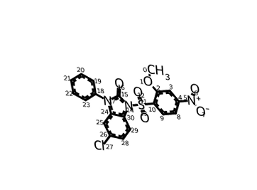 COc1cc([N+](=O)[O-])ccc1S(=O)(=O)n1c(=O)n(-c2ccccc2)c2cc(Cl)ccc21